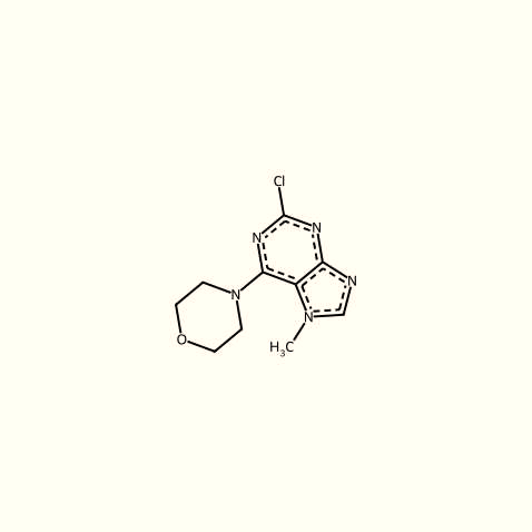 Cn1cnc2nc(Cl)nc(N3CCOCC3)c21